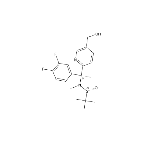 CN([S@+]([O-])C(C)(C)C)[C@@](C)(c1ccc(F)c(F)c1)c1ccc(CO)cn1